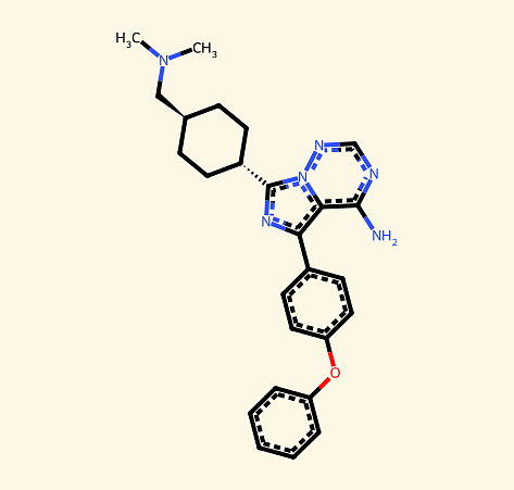 CN(C)C[C@H]1CC[C@H](c2nc(-c3ccc(Oc4ccccc4)cc3)c3c(N)ncnn32)CC1